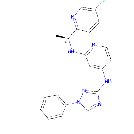 C[C@H](Nc1cc(Nc2ncn(-c3ccccc3)n2)ccn1)c1ccc(F)cn1